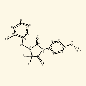 CC1(C)C(=O)N(c2ccc(SC(F)(F)F)cc2)C(=O)N1Cc1ccncc1Cl